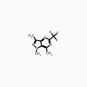 Cc1nn(C)c2c(C)nc(C(F)(F)F)nc12